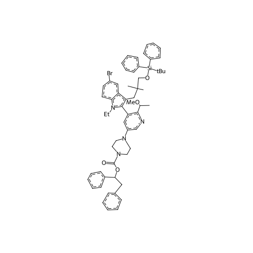 CCn1c(-c2cc(N3CCN(C(=O)OC(Cc4ccccc4)c4ccccc4)CC3)cnc2C(C)OC)c(CC(C)(C)CO[Si](c2ccccc2)(c2ccccc2)C(C)(C)C)c2cc(Br)ccc21